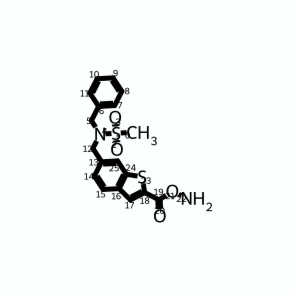 CS(=O)(=O)N(Cc1ccccc1)Cc1ccc2cc(C(=O)ON)sc2c1